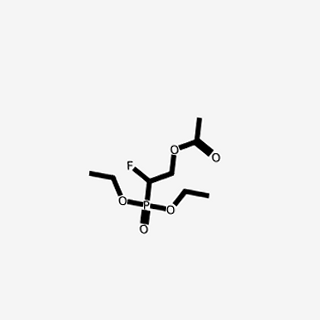 CCOP(=O)(OCC)C(F)COC(C)=O